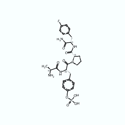 C[C@H](N)C(=O)N[C@@H](Cc1ccc(OP(=O)(O)O)cc1)C(=O)N1CCC[C@H]1C(=O)N[C@@H](Cc1ccc(F)cc1)C(N)=O